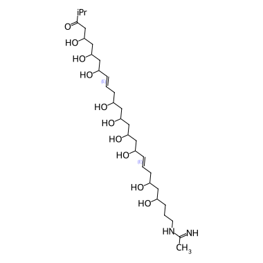 CC(=N)NCCCC(O)CC(O)C/C=C/C(O)CC(O)CC(O)CC(O)C/C=C/C(O)CC(O)CC(O)CC(=O)C(C)C